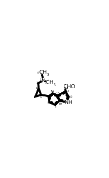 CN(C)CC1CC1c1ccc2[nH]cc(C=O)c2c1